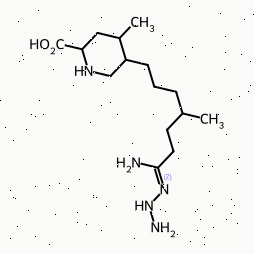 CC(CCCC1CNC(C(=O)O)CC1C)CC/C(N)=N/NN